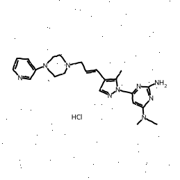 Cc1c(/C=C/CN2CCN(c3cccnc3)CC2)cnn1-c1cc(N(C)C)nc(N)n1.Cl